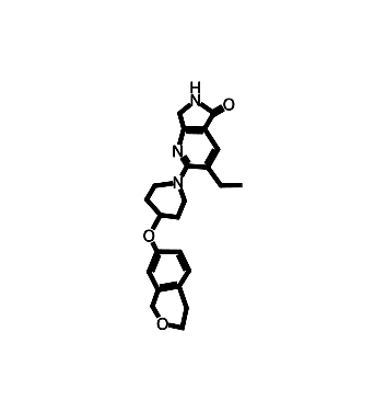 CCc1cc2c(nc1N1CCC(Oc3ccc4c(c3)COCC4)CC1)CNC2=O